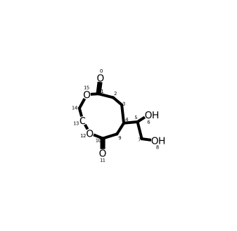 O=C1CCC(C(O)CO)CC(=O)OCCO1